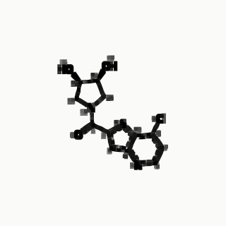 O=C(c1cc2nccc(Cl)c2s1)N1C[C@@H](O)[C@@H](O)C1